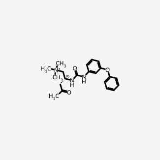 CC(=O)C[C@H](C[N+](C)(C)C)NC(=O)Nc1cccc(Oc2ccccc2)c1